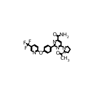 CC(=O)[C@@H]1CCCN1c1cc(C(N)=O)nc(-c2ccc(Oc3ccc(C(F)(F)F)cn3)cc2)n1